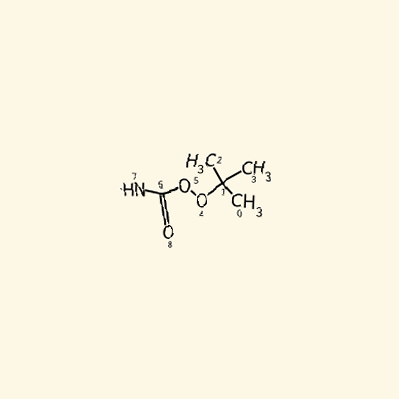 CC(C)(C)OOC([NH])=O